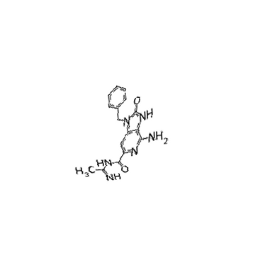 CC(=N)NC(=O)c1cc2c([nH]c(=O)n2Cc2ccccc2)c(N)n1